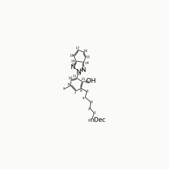 CCCCCCCCCCCCCCCc1cc(C)cc(-n2nc3ccccc3n2)c1O